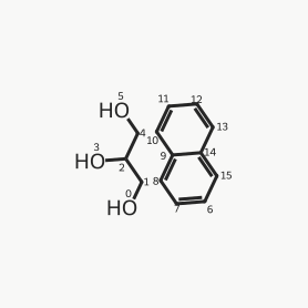 OCC(O)CO.c1ccc2ccccc2c1